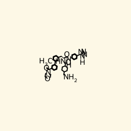 Cc1ccc(C[C@H](NC(=O)C2CCC(CN)CC2)C(=O)Nc2ccc(-c3nnn[nH]3)cc2)cc1-c1cccc(C(=O)N2CCOCC2)c1